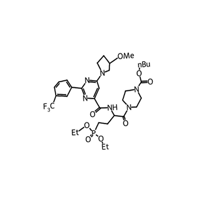 CCCCOC(=O)N1CCN(C(=O)C(CCP(=O)(OCC)OCC)NC(=O)c2cc(N3CCC(OC)C3)nc(-c3cccc(C(F)(F)F)c3)n2)CC1